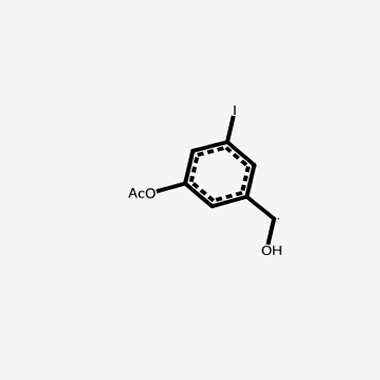 CC(=O)Oc1cc(I)cc([CH]O)c1